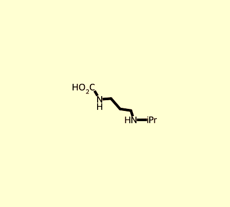 CC(C)NCCCNC(=O)O